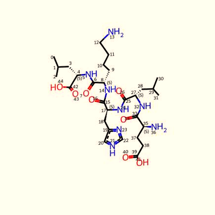 CC(C)C[C@H](NC(=O)[C@H](CCCCN)NC(=O)[C@H](Cc1c[nH]cn1)NC(=O)[C@H](CC(C)C)NC(=O)[C@@H](N)CCC(=O)O)C(=O)O